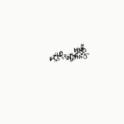 CC(=O)Nc1cnc(N2CCN(CCCC(=O)c3ccc(F)cc3)CC2)cc1NC(C)=O